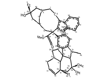 CC[C@]1(O)CC2CN(CCc3c([nH]c4ccccc34)[C@@](C(=O)OC)(c3cc4c(cc3OC)N(C)C3C45CCN4CC=C[C@](CC)(C45)[C@@H](C)[C@]3(O)OC(C)=O)C2)C1